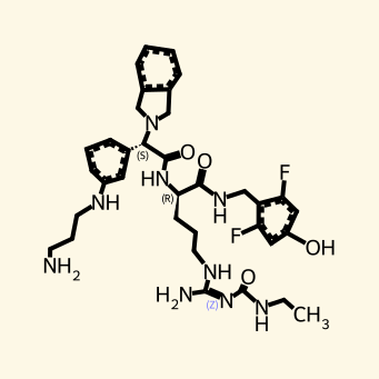 CCNC(=O)/N=C(/N)NCCC[C@@H](NC(=O)[C@H](c1cccc(NCCCN)c1)N1Cc2ccccc2C1)C(=O)NCc1c(F)cc(O)cc1F